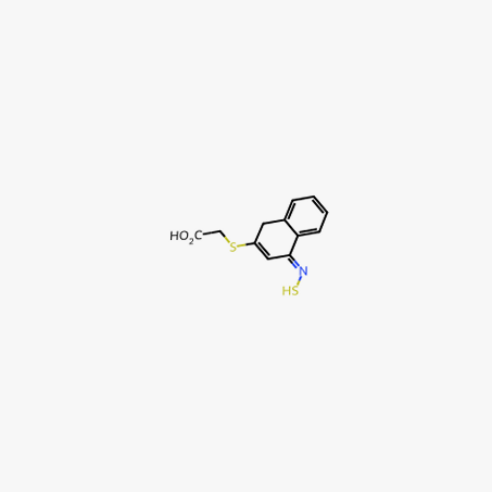 O=C(O)CSC1=C/C(=N\S)c2ccccc2C1